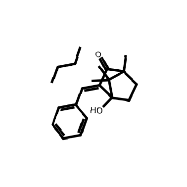 CC12CCC(O)(C(=Cc3ccccc3)C1=O)C2(C)C.CCCC